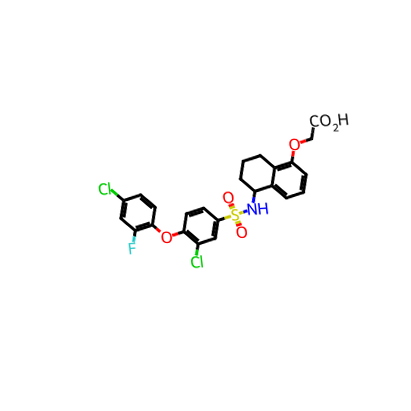 O=C(O)COc1cccc2c1CCCC2NS(=O)(=O)c1ccc(Oc2ccc(Cl)cc2F)c(Cl)c1